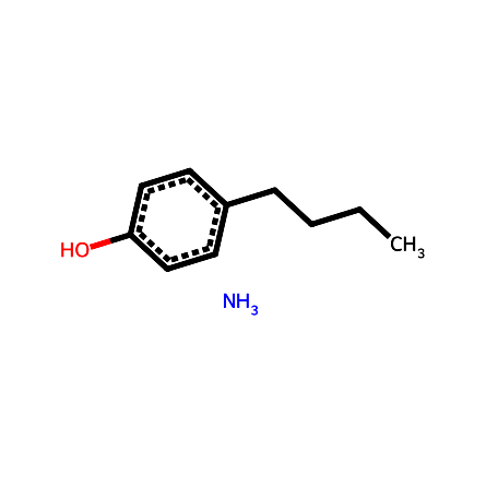 CCCCc1ccc(O)cc1.N